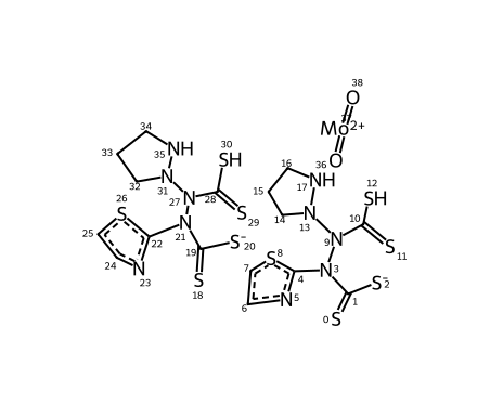 S=C([S-])N(c1nccs1)N(C(=S)S)N1CCCN1.S=C([S-])N(c1nccs1)N(C(=S)S)N1CCCN1.[O]=[Mo+2]=[O]